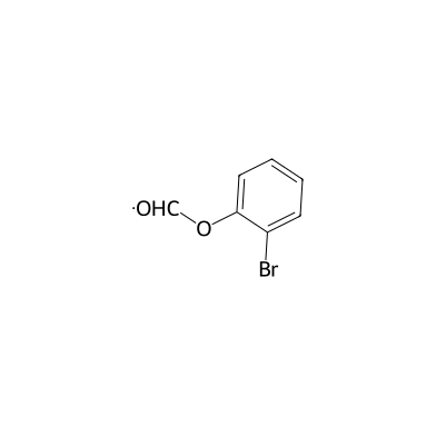 O=[C]Oc1ccccc1Br